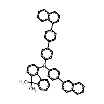 CC1(C)c2ccccc2-c2c(N(c3ccc(-c4ccc(-c5cccc6ccccc56)cc4)cc3)c3ccc(-c4ccc5ccccc5c4)cc3)cccc21